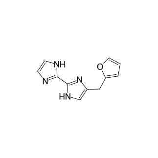 c1coc(Cc2c[nH]c(-c3ncc[nH]3)n2)c1